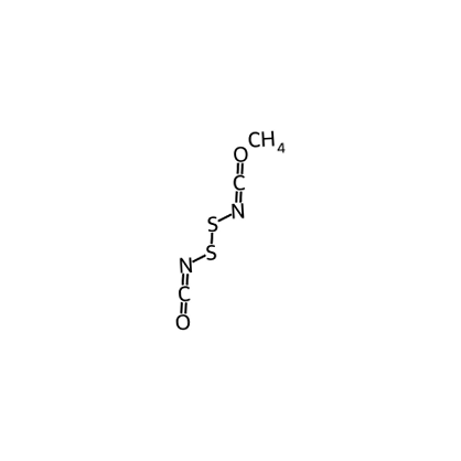 C.O=C=NSSN=C=O